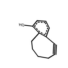 Oc1cccc2c1CCCCC#C2